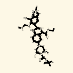 CCOC(=O)c1nc(-c2cc3cn(C)nc3c(F)c2OCOC)nc2ccc(N3C[C@@H](C)N(C(=O)OC(C)(C)C)[C@H](C)C3)cc12